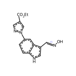 CCOC(=O)c1cnn(-c2ccc3[nH]cc(/C=N/O)c3c2)c1